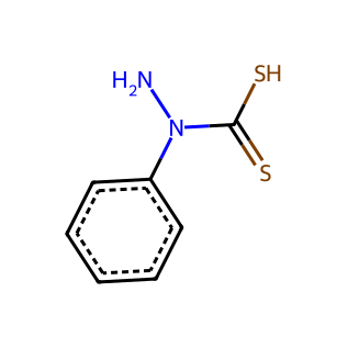 NN(C(=S)S)c1ccccc1